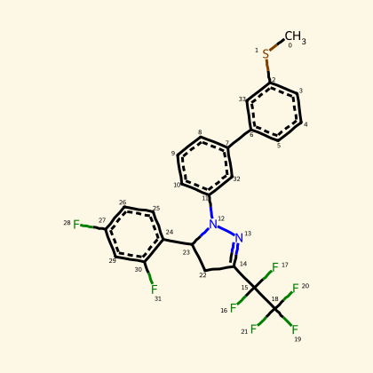 CSc1cccc(-c2cccc(N3N=C(C(F)(F)C(F)(F)F)CC3c3ccc(F)cc3F)c2)c1